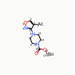 CC(=O)c1conc1N1CCN(C(=O)OC(C)(C)C)CC1